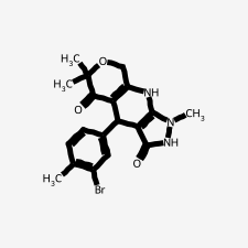 Cc1ccc(C2C3=C(COC(C)(C)C3=O)Nc3c2c(=O)[nH]n3C)cc1Br